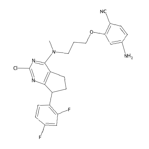 CN(CCCOc1cc(N)ccc1C#N)c1nc(Cl)nc2c1CCC2c1ccc(F)cc1F